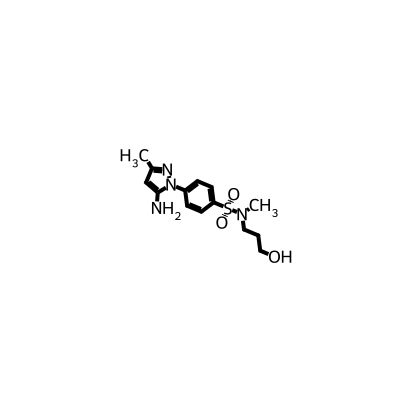 Cc1cc(N)n(-c2ccc(S(=O)(=O)N(C)CCCO)cc2)n1